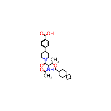 CC(=O)NC(C(=O)N1CCC(c2ccc(C(=O)O)cc2)CC1)C(C)OCC1CCC2(CCC2)CC1